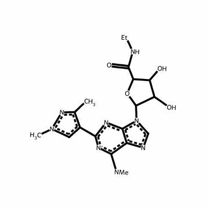 CCNC(=O)C1OC(n2cnc3c(NC)nc(-c4cn(C)nc4C)nc32)C(O)C1O